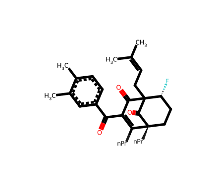 CCCC1=C(C(=O)c2ccc(C)c(C)c2)C(=O)C2(CC=C(C)C)C(=O)[C@]1(CCC)CC[C@H]2F